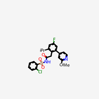 COc1cc(-c2cc(F)cc(C(C)C)c2CC(=O)NS(=O)(=O)c2ccccc2Cl)ccn1